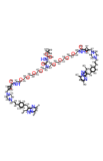 CCc1nn2c(C)cc(C)nc2c1Cc1ccc(/C=C/CN2CCN(CC34CC(C(=O)NCCOCCOCCOCCOCCN(CCOCCOCCOCCOCCNC(=O)C56CC(CN7CCN(C/C=C/c8ccc(Cc9c(CC)nn%10c(C)cc(C)nc9%10)cc8)CC7)(C5)C6)C(=O)CNC(=O)OC(C)(C)C)(C3)C4)CC2)cc1